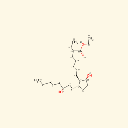 CCCCCC(O)CC[C@H]1CC[C@H](O)[C@@H]1CCCCCC(CC)C(=O)OCC